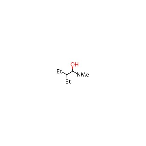 CCC(CC)C(O)NC